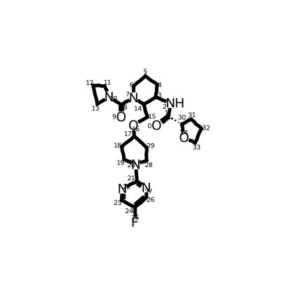 O=C(NC1CCCN(C(=O)N2CCC2)C1COC1CCN(c2ncc(F)cn2)CC1)[C@@H]1CCCO1